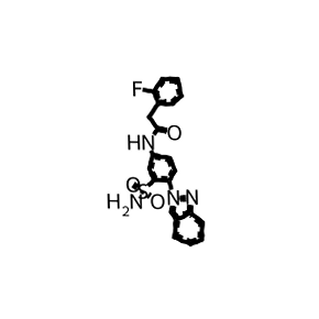 NS(=O)(=O)c1cc(NC(=O)Cc2ccccc2F)ccc1-n1cc2ccccc2n1